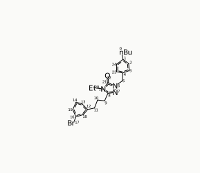 CCCCc1ccc(Cn2nc(CCCc3cccc(Br)c3)n(CC)c2=O)cc1